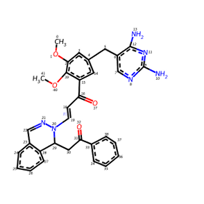 COc1cc(Cc2cnc(N)nc2N)cc(C(=O)/C=C/N2N=Cc3ccccc3C2CC(=O)c2ccccc2)c1OC